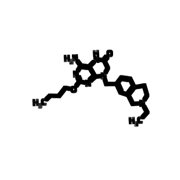 CCCCOc1nc(N)c2c(n1)N(Cc1ccc3c(c1)CN(CC)CC3)CC(=O)N2